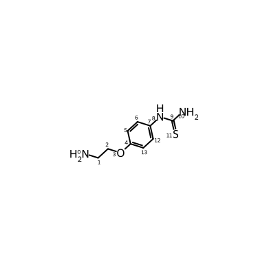 NCCOc1ccc(NC(N)=S)cc1